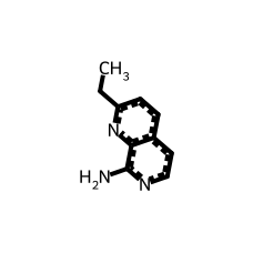 CCc1ccc2ccnc(N)c2n1